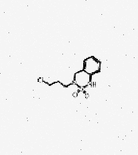 O=S1(=O)Nc2ccccc2CN1CCCCl